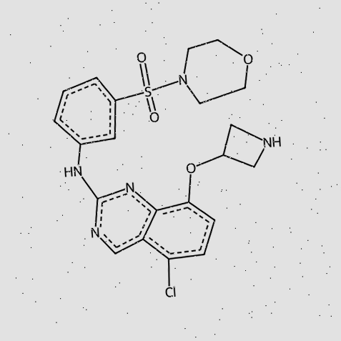 O=S(=O)(c1cccc(Nc2ncc3c(Cl)ccc(OC4CNC4)c3n2)c1)N1CCOCC1